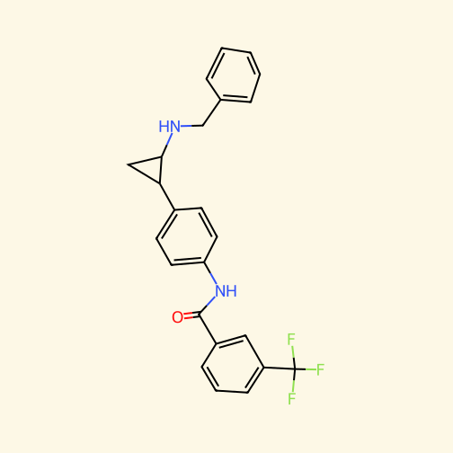 O=C(Nc1ccc(C2CC2NCc2ccccc2)cc1)c1cccc(C(F)(F)F)c1